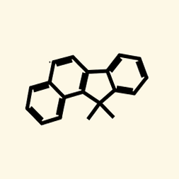 CC1(C)c2ccccc2-c2c[c]c3ccccc3c21